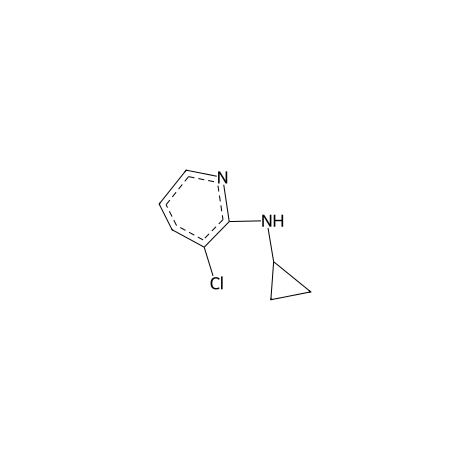 Clc1cccnc1NC1CC1